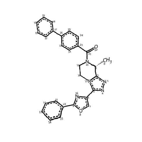 C[C@@H]1c2nnc(-c3coc(-c4ccccc4)n3)n2CCN1C(=O)c1ccc(-c2ccccc2)cc1